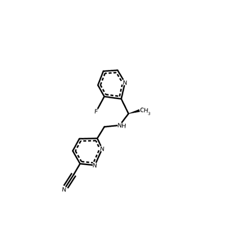 C[C@@H](NCc1ccc(C#N)nn1)c1ncccc1F